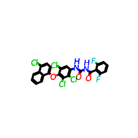 O=C(NC(=O)c1c(F)cccc1F)Nc1cc(Cl)c(Oc2ccc(Cl)c3ccccc23)c(Cl)c1Cl